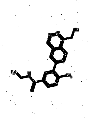 Cc1ccc(C(=O)NCC(F)(F)F)cc1-c1ccc2c(CC(C)(C)C)nncc2c1